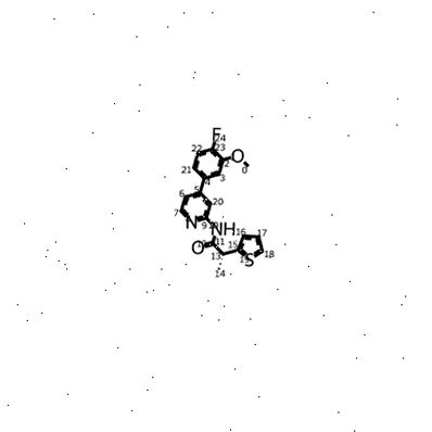 COc1cc(-c2ccnc(NC(=O)[C@@H](C)c3cccs3)c2)ccc1F